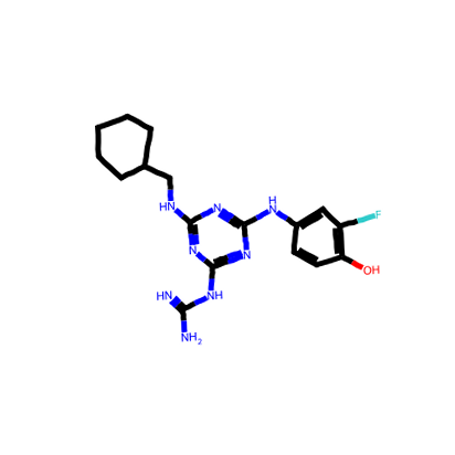 N=C(N)Nc1nc(NCC2CCCCC2)nc(Nc2ccc(O)c(F)c2)n1